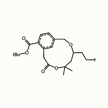 CC(C)(C)OC(=O)c1ccc2cc1CC(=O)OC(C)(C)CC(CCI)OC2